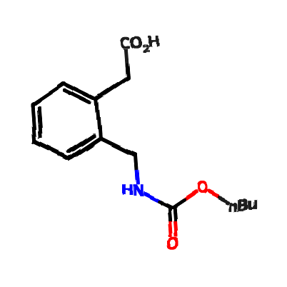 CCCCOC(=O)NCc1ccccc1CC(=O)O